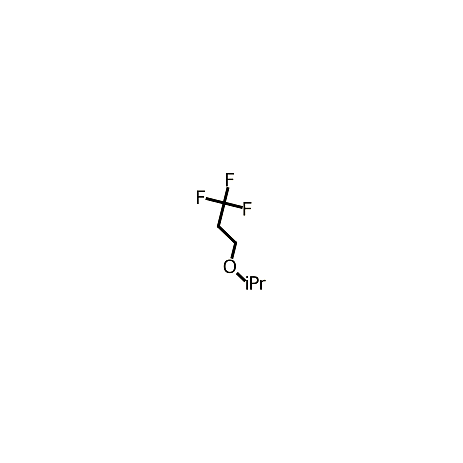 CC(C)OCCC(F)(F)F